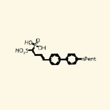 CCCCCc1ccc(-c2ccc(/C=C/CC(P(=O)(O)O)S(=O)(=O)O)cc2)cc1